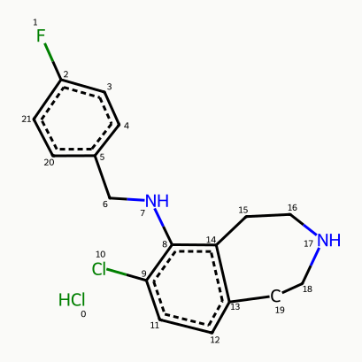 Cl.Fc1ccc(CNc2c(Cl)ccc3c2CCNCC3)cc1